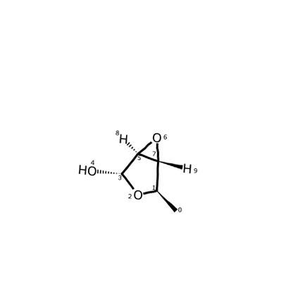 C[C@H]1O[C@H](O)[C@H]2O[C@@H]21